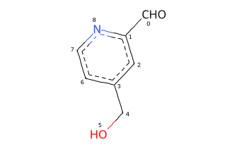 O=Cc1cc(CO)ccn1